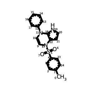 Cc1ccc(S(=O)(=O)N2C=CN(c3ccccc3)c3[nH]ccc32)cc1